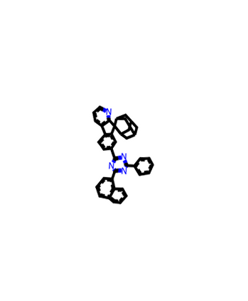 c1ccc(-c2nc(-c3ccc4c(c3)C3(c5ncccc5-4)C4CC5CC(C4)CC3C5)nc(-c3cccc4ccccc34)n2)cc1